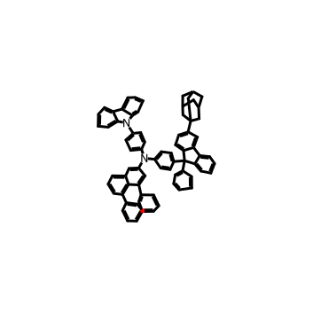 c1ccc(-c2cccc3cc(N(c4ccc(-n5c6ccccc6c6ccccc65)cc4)c4ccc(C5(c6ccccc6)c6ccccc6-c6cc(C78CC9CC(CC(C9)C7)C8)ccc65)cc4)cc(-c4ccccc4)c23)cc1